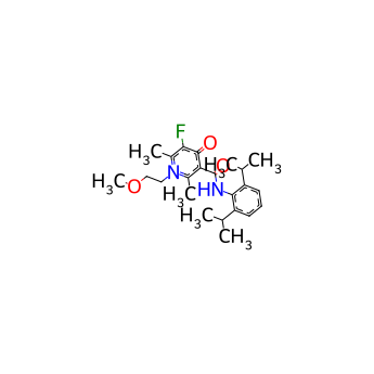 COCCn1c(C)c(F)c(=O)c(C(=O)Nc2c(C(C)C)cccc2C(C)C)c1C